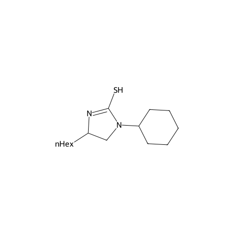 CCCCCCC1CN(C2CCCCC2)C(S)=N1